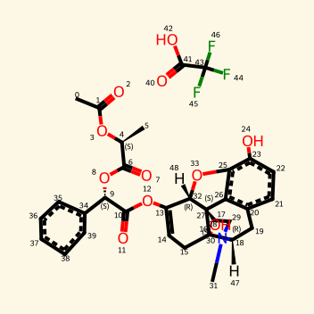 CC(=O)O[C@@H](C)C(=O)O[C@H](C(=O)OC1=CC[C@@]2(O)[C@H]3Cc4ccc(O)c5c4[C@@]2(CCN3C)[C@H]1O5)c1ccccc1.O=C(O)C(F)(F)F